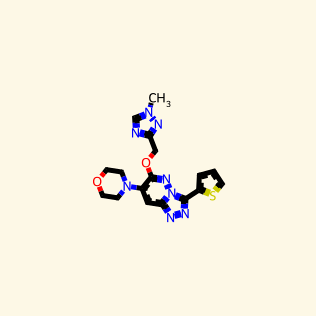 Cn1cnc(COc2nn3c(-c4cccs4)nnc3cc2N2CCOCC2)n1